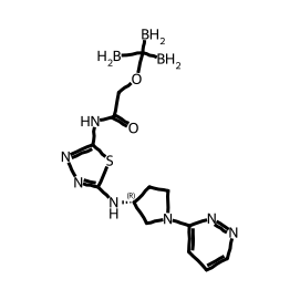 BC(B)(B)OCC(=O)Nc1nnc(N[C@@H]2CCN(c3cccnn3)C2)s1